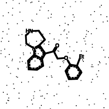 CCc1ccccc1OCC(=O)c1c2n(c3ccccc13)CCNCC2